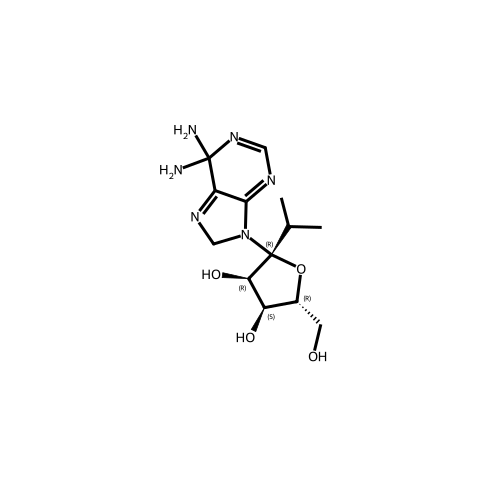 CC(C)[C@@]1(N2CN=C3C2=NC=NC3(N)N)O[C@H](CO)[C@@H](O)[C@H]1O